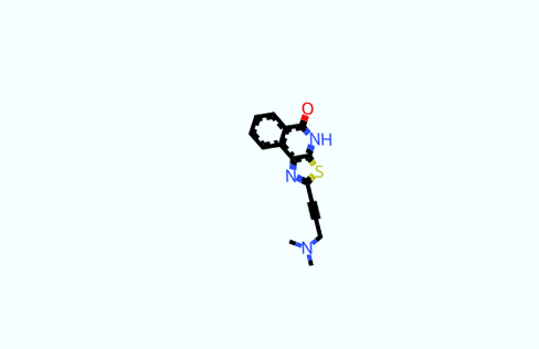 CN(C)CC#Cc1nc2c([nH]c(=O)c3ccccc32)s1